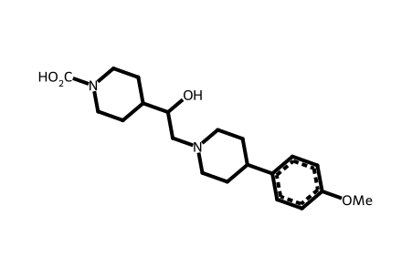 COc1ccc(C2CCN(CC(O)C3CCN(C(=O)O)CC3)CC2)cc1